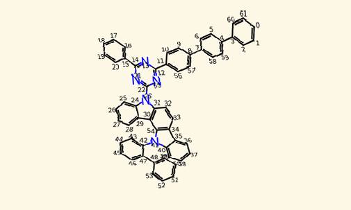 c1ccc(-c2ccc(-c3ccc(-c4nc(-c5ccccc5)nc(-n5c6ccccc6c6c5ccc5c7ccccc7n(-c7ccccc7-c7ccccc7)c56)n4)cc3)cc2)cc1